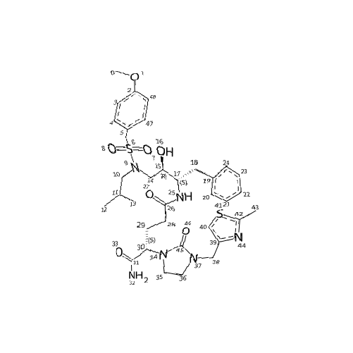 COc1ccc(S(=O)(=O)N(CC(C)C)C[C@@H](O)[C@H](Cc2ccccc2)NC(=O)CC[C@@H](C(N)=O)N2CCN(Cc3csc(C)n3)C2=O)cc1